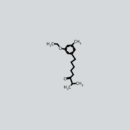 CCOc1cc(C)cc(CCCCCC(=O)C(C)C)c1